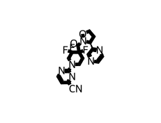 N#Cc1ccnc(N2CCC(F)(C(=O)N3OCC[C@H]3c3cnccn3)C(F)(F)C2)n1